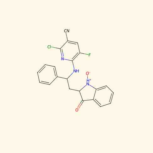 N#Cc1cc(F)c(NC(CC2C(=O)c3ccccc3[NH+]2[O-])c2ccccc2)nc1Cl